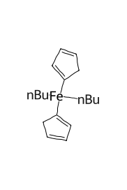 CCC[CH2][Fe]([CH2]CCC)([C]1=CC=CC1)[C]1=CC=CC1